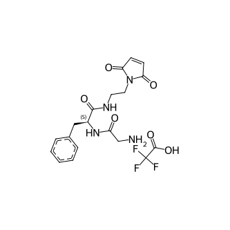 NCC(=O)N[C@@H](Cc1ccccc1)C(=O)NCCN1C(=O)C=CC1=O.O=C(O)C(F)(F)F